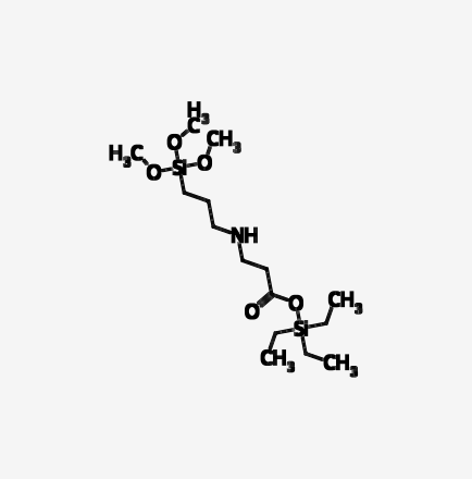 CC[Si](CC)(CC)OC(=O)CCNCCC[Si](OC)(OC)OC